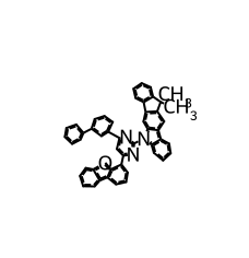 CC1(C)c2ccccc2-c2cc3c(cc21)c1ccccc1n3-c1nc(-c2cccc(-c3ccccc3)c2)cc(-c2cccc3c2oc2ccccc23)n1